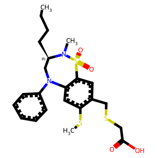 CCCC[C@@H]1CN(c2ccccc2)c2cc(SC)c(CSCC(=O)O)cc2S(=O)(=O)N1C